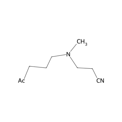 CC(=O)CCCN(C)CCC#N